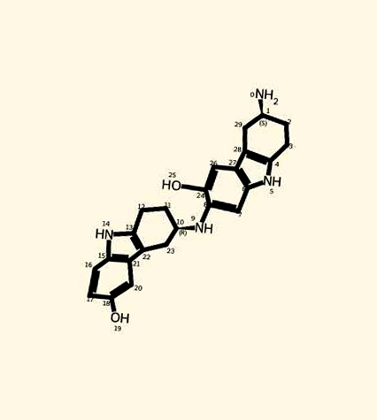 N[C@H]1CCc2[nH]c3cc(N[C@@H]4CCc5[nH]c6ccc(O)cc6c5C4)c(O)cc3c2C1